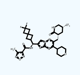 Cc1nonc1C(=O)N[C@H](c1cn2nc(C[C@H]3C[C@@H](C(F)(F)F)CNC3=O)c(C3CCOCC3)nc2n1)C1CC2(C1)CC(F)(F)C2